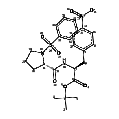 CC(C)(C)OC(=O)[C@H](Cc1ccc([N+](=O)[O-])cc1)NC(=O)[C@@H]1CCCN1S(=O)(=O)c1ccccc1